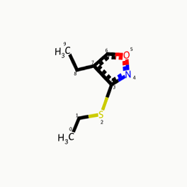 CCSc1nocc1CC